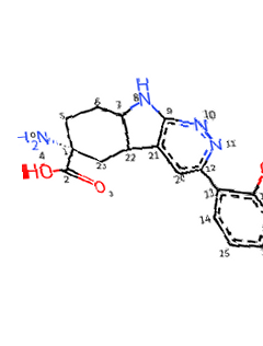 N[C@]1(C(=O)O)CCC2Nc3nnc(-c4ccccc4O)cc3C2C1